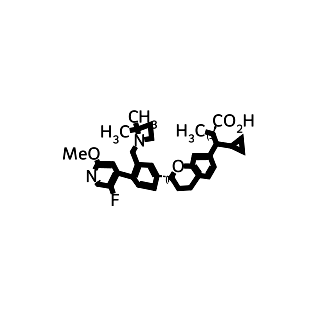 COc1cc(-c2ccc([C@H]3CCc4ccc(C(C5CC5)[C@H](C)C(=O)O)cc4O3)cc2CN2CCC2(C)C)c(F)cn1